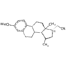 COc1ccc2c(c1)CCC1C2CCC2(C)C1C(C)C[C@H]2CC#N